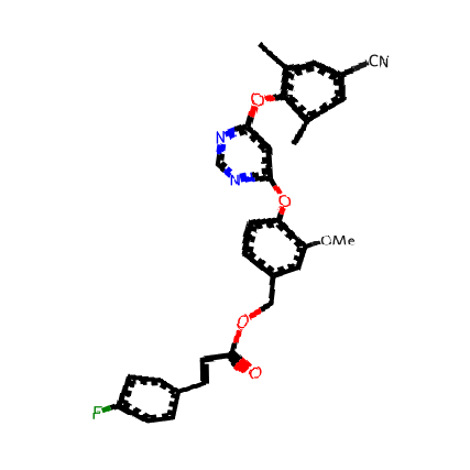 COc1cc(COC(=O)/C=C/c2ccc(F)cc2)ccc1Oc1cc(Oc2c(C)cc(C#N)cc2C)ncn1